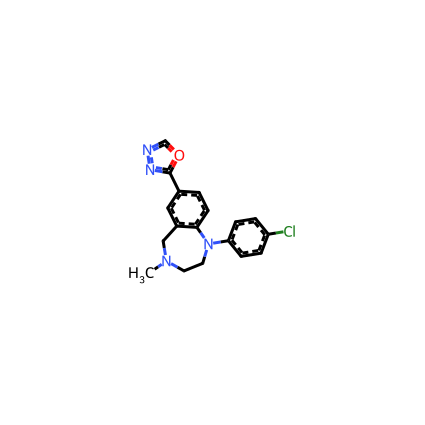 CN1CCN(c2ccc(Cl)cc2)c2ccc(-c3nnco3)cc2C1